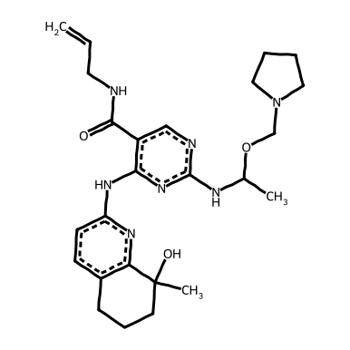 C=CCNC(=O)c1cnc(NC(C)OCN2CCCC2)nc1Nc1ccc2c(n1)C(C)(O)CCC2